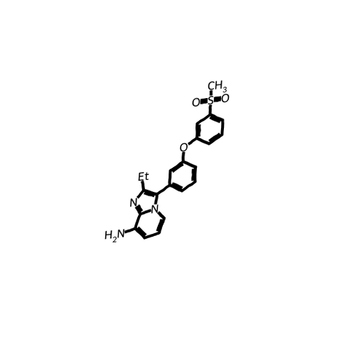 CCc1nc2c(N)cccn2c1-c1cccc(Oc2cccc(S(C)(=O)=O)c2)c1